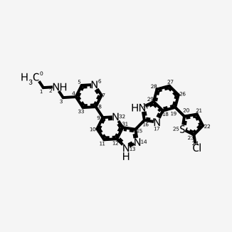 CCNCc1cncc(-c2ccc3[nH]nc(-c4nc5c(-c6ccc(Cl)s6)cccc5[nH]4)c3n2)c1